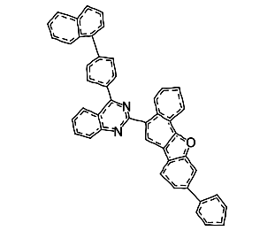 c1ccc(-c2ccc3c(c2)oc2c4ccccc4c(-c4nc(-c5ccc(-c6cccc7ccccc67)cc5)c5ccccc5n4)cc32)cc1